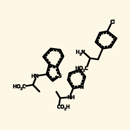 CC(Nc1ccccn1)C(=O)O.CC(Nc1csc2ccccc12)C(=O)O.NC(Cc1ccc(Cl)cc1)C(=O)O